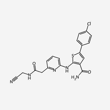 N#CCNC(=O)Cc1cccc(Nc2sc(-c3ccc(Cl)cc3)cc2C(N)=O)n1